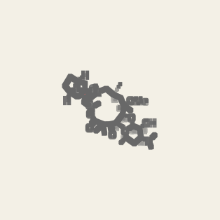 CO[C@]1(C)C[C@@H](C)CN(C)[C@H](C2C[C@H]3CC[C@@H](C2)N3C(=O)CN(C)C)COC(=O)C(C)(C)C(=O)[C@H](C)[C@H]1O[C@@H]1O[C@H](C)C[C@H](N(C)C)[C@H]1O